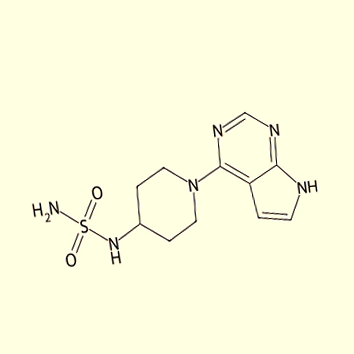 NS(=O)(=O)NC1CCN(c2ncnc3[nH]ccc23)CC1